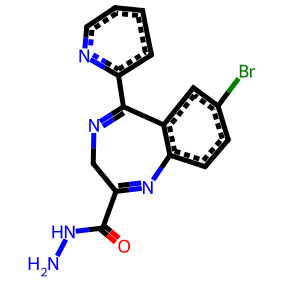 NNC(=O)C1=Nc2ccc(Br)cc2C(c2ccccn2)=NC1